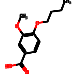 CCCCOc1ccc(C(=O)O)cc1OC